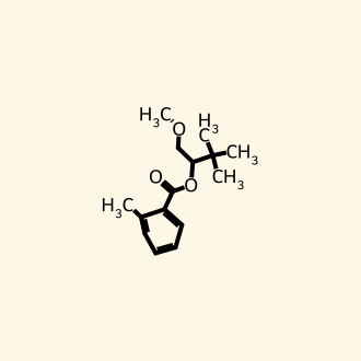 COCC(OC(=O)c1ccccc1C)C(C)(C)C